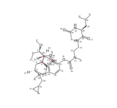 CO[C@]12CC[C@@]3(C[C@@H]1C(C)(C)O)[C@H]1Cc4ccc(OC(=O)N(C)CCNC(=O)[C@H](CC(C)C)NC(C)=O)c5c4[C@@]3(CC[N+]1(C)CC1CC1)[C@H]2O5